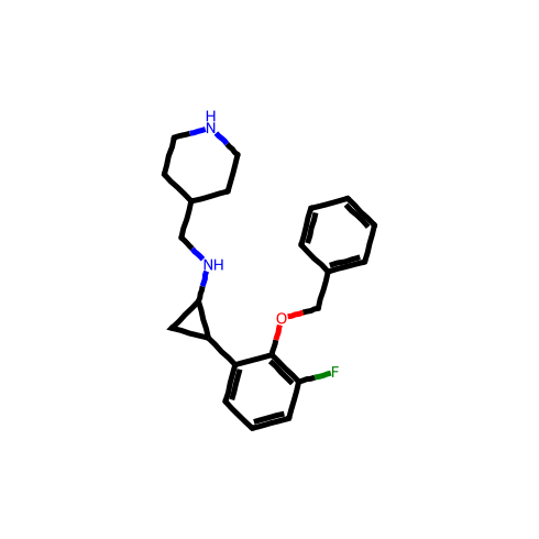 Fc1cccc(C2CC2NCC2CCNCC2)c1OCc1ccccc1